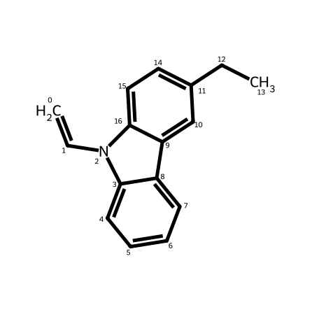 C=Cn1c2ccccc2c2cc(CC)ccc21